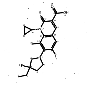 CCC1(F)CCN(c2c(F)cc3cc(C(=O)O)c(=O)n(C4CC4)c3c2C)C1